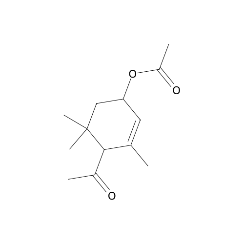 CC(=O)OC1C=C(C)C(C(C)=O)C(C)(C)C1